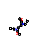 c1ccc(-c2ccc(-n3c4ccc(-c5ccc6c(c5)c5cc7c(cc5n6-c5cccc(-c6ccccc6)c5)oc5ccccc57)cc4c4cc5c(cc43)oc3ccccc35)cc2)cc1